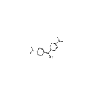 CN(C)c1ccc([C](O)c2ccc(N(C)C)cc2)cc1